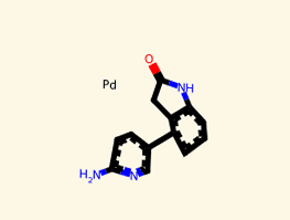 Nc1ccc(-c2cccc3c2CC(=O)N3)cn1.[Pd]